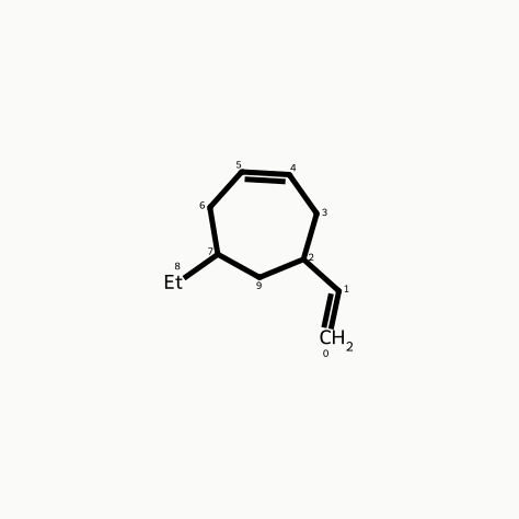 C=CC1CC=CCC(CC)C1